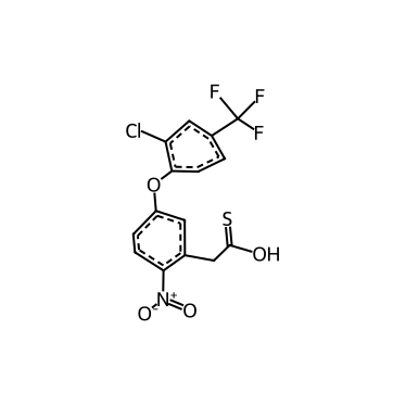 O=[N+]([O-])c1ccc(Oc2ccc(C(F)(F)F)cc2Cl)cc1CC(O)=S